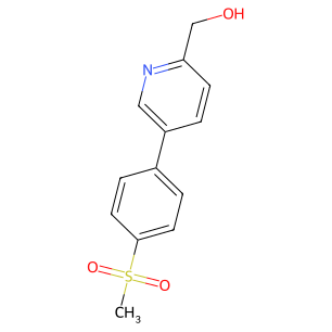 CS(=O)(=O)c1ccc(-c2ccc(CO)nc2)cc1